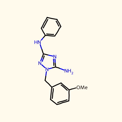 COc1cccc(Cn2nc(Nc3ccccc3)nc2N)c1